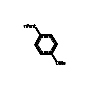 [CH2]CCC[CH]c1ccc(OC)cc1